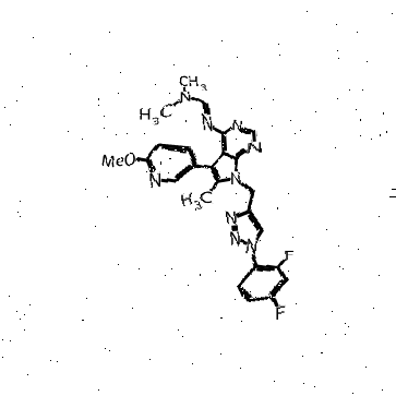 COc1ccc(-c2c(C)n(Cc3cn(-c4ccc(F)cc4F)nn3)c3ncnc(/N=C/N(C)C)c23)cn1